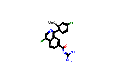 COc1cc(Cl)ccc1-c1ncc(Cl)c2ccc(C(=O)N=C(N)N)cc12